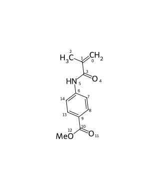 C=C(C)C(=O)Nc1ccc(C(=O)OC)cc1